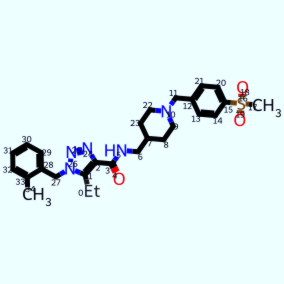 CCc1c(C(=O)NCC2CCN(Cc3ccc(S(C)(=O)=O)cc3)CC2)nnn1Cc1ccccc1C